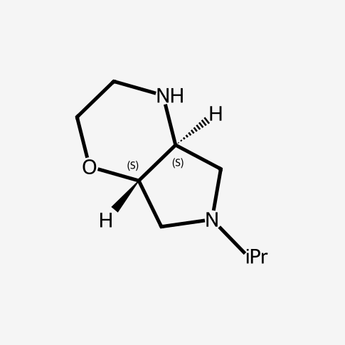 CC(C)N1C[C@@H]2NCCO[C@H]2C1